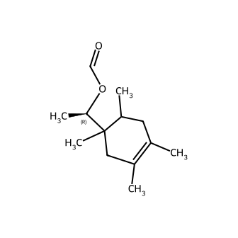 CC1=C(C)CC(C)([C@@H](C)OC=O)C(C)C1